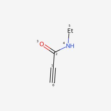 [C]#CC(=O)NCC